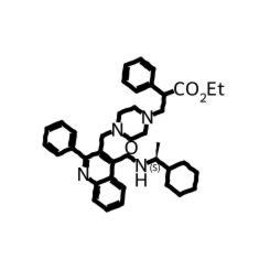 CCOC(=O)C(CN1CCN(Cc2c(-c3ccccc3)nc3ccccc3c2C(=O)N[C@@H](C)C2CCCCC2)CC1)c1ccccc1